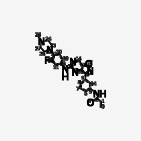 C=CC(=O)Nc1cccc(-c2noc3cnc(Nc4ccc(N5CCN(C)CC5)c(F)c4)nc23)c1